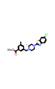 COC(=O)c1cc(C)cc(CN2CCN(c3nc4ccc(Cl)cc4s3)C[C@H]2C)c1